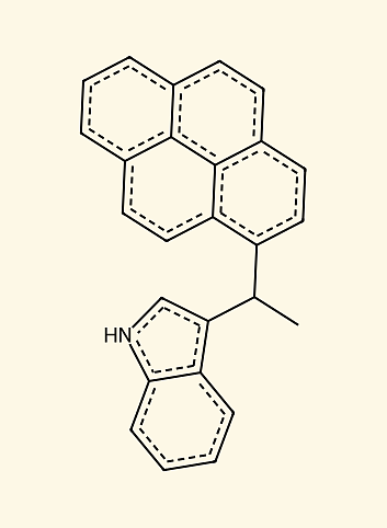 CC(c1c[nH]c2ccccc12)c1ccc2ccc3cccc4ccc1c2c34